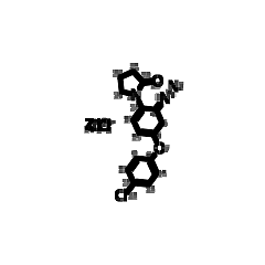 [Cl-].[Cl-].[N-]=[N+]=C1CC(Oc2ccc(Cl)cc2)=CC=C1N1CCCC1=O.[Zn+2]